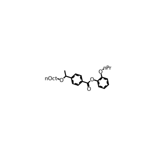 CCCCCCCCOC(C)c1ccc(C(=O)Oc2ccccc2OCCC)cc1